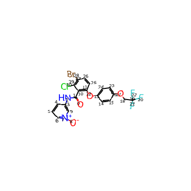 O=C(Nc1ccc[n+]([O-])c1)c1c(Oc2ccc(OCC(F)(F)F)cc2)ccc(Br)c1Cl